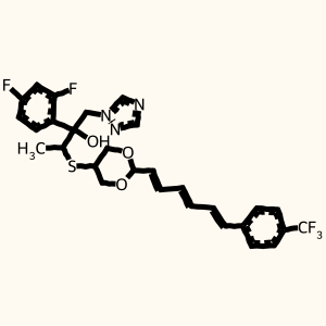 CC(SC1COC(/C=C/C=C/C=C/c2ccc(C(F)(F)F)cc2)OC1)C(O)(Cn1cncn1)c1ccc(F)cc1F